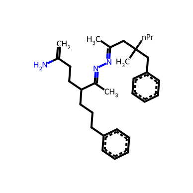 C=C(N)CCC(CCCc1ccccc1)/C(C)=N/N=C(\C)CC(C)(CCC)Cc1ccccc1